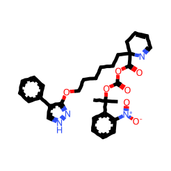 CC(C)(OC(=O)OC(=O)C1(CCCCCCOc2n[nH]cc2-c2ccccc2)CC=CC=N1)c1ccccc1[N+](=O)[O-]